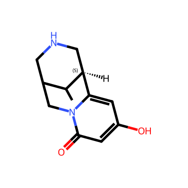 CC1C2CNC[C@H]1c1cc(O)cc(=O)n1C2